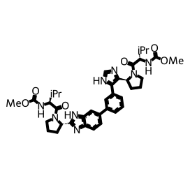 COC(=O)N[C@H](C(=O)N1CCC[C@H]1c1nc2ccc(-c3cccc(-c4[nH]cnc4[C@@H]4CCCN4C(=O)[C@@H](NC(=O)OC)C(C)C)c3)cc2[nH]1)C(C)C